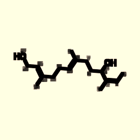 CC=C(C)C(O)CCC(C)=CCCC(C)=CCO